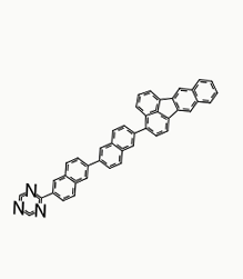 c1ccc2cc3c(cc2c1)-c1cccc2c(-c4ccc5cc(-c6ccc7cc(-c8ncncn8)ccc7c6)ccc5c4)ccc-3c12